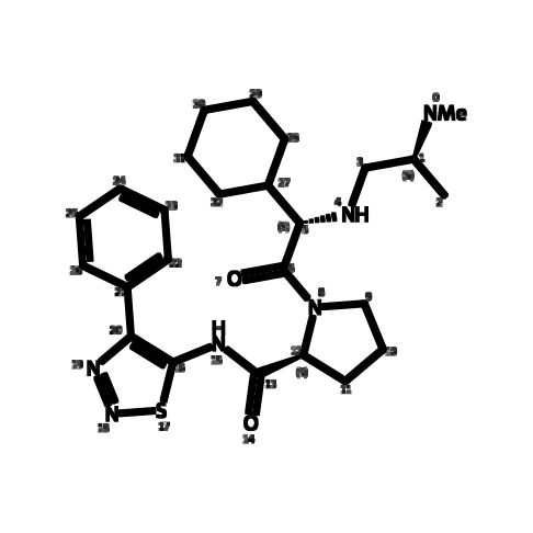 CN[C@@H](C)CN[C@H](C(=O)N1CCC[C@H]1C(=O)Nc1snnc1-c1ccccc1)C1CCCCC1